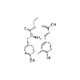 CCOC(=O)[C@@H](N)Cc1ccc(O)cc1.O=C(O)C=Cc1ccc(O)c(I)c1